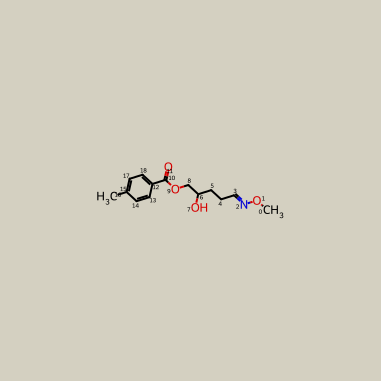 CON=CCCC(O)COC(=O)c1ccc(C)cc1